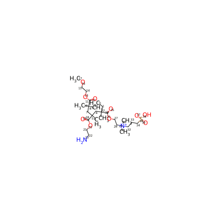 CCC(C)(CC(C)(CC(C)(C)C(=O)OCCOC)C(=O)OCCN)C(=O)OCC[N+](C)(C)CCCS(=O)(=O)O